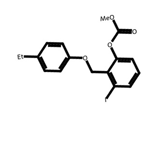 CCc1ccc(OCc2c(I)cccc2OC(=O)OC)cc1